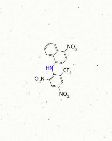 O=[N+]([O-])c1cc([N+](=O)[O-])c(Nc2ccc([N+](=O)[O-])c3ccccc23)c(C(F)(F)F)c1